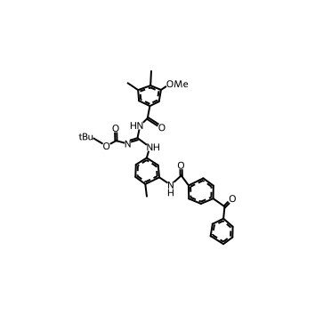 COc1cc(C(=O)N/C(=N\C(=O)OC(C)(C)C)Nc2ccc(C)c(NC(=O)c3ccc(C(=O)c4ccccc4)cc3)c2)cc(C)c1C